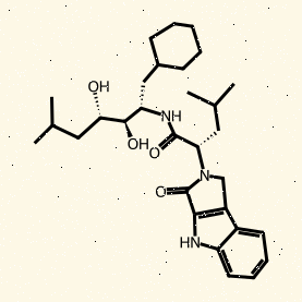 CC(C)C[C@H](O)[C@H](O)[C@H](CC1CCCCC1)NC(=O)[C@H](CC(C)C)N1Cc2c([nH]c3ccccc23)C1=O